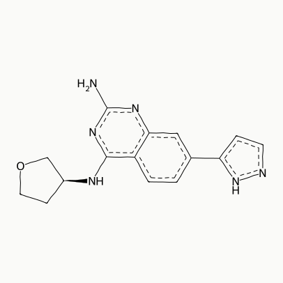 Nc1nc(N[C@H]2CCOC2)c2ccc(-c3ccn[nH]3)cc2n1